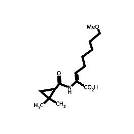 COCCCCCC=C(NC(=O)C1CC1(C)C)C(=O)O